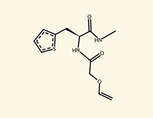 C=COCC(=O)N[C@@H](Cc1cccs1)C(=O)NC